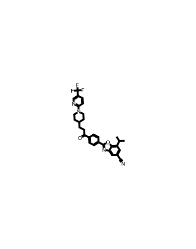 CC(C)c1cc(C#N)cc2nc(-c3ccc(C(=O)CCC4CCN(c5ccc(C(F)(F)F)cn5)CC4)cc3)oc12